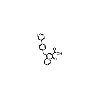 O=C(O)c1cc(Cc2ccc(-c3cccnc3)cc2)c2ccccn2c1=O